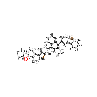 c1ccc2c(c1)oc1c2ccc2c1ccc1sc3cc(-c4c5ccccc5c(-c5ccc6sc7ccccc7c6c5)c5ccccc45)ccc3c12